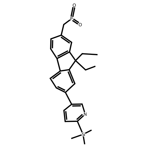 CCC1(CC)c2cc(CP(=O)=O)ccc2-c2ccc(-c3ccc([Si](C)(C)C)nc3)cc21